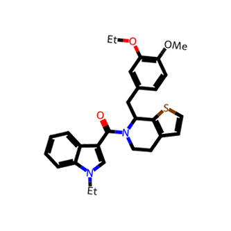 CCOc1cc(CC2c3sccc3CCN2C(=O)c2cn(CC)c3ccccc23)ccc1OC